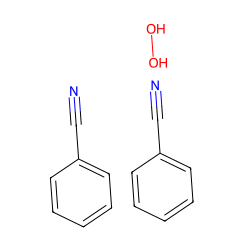 N#Cc1ccccc1.N#Cc1ccccc1.OO